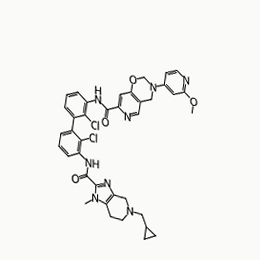 COc1cc(N2COc3cc(C(=O)Nc4cccc(-c5cccc(NC(=O)c6nc7c(n6C)CCN(CC6CC6)C7)c5Cl)c4Cl)ncc3C2)ccn1